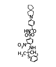 CC(C)(CNc1ccc(S(=O)(=O)NC(=O)c2ccc(N3CCC4(CCCC4)CC3)cc2)cc1[N+](=O)[O-])Sc1ccccc1